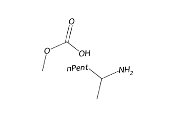 CCCCCC(C)N.COC(=O)O